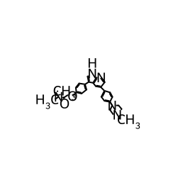 CN1CCN(c2ccc(-c3cnc4[nH]cc(-c5ccc(OCC(=O)N(C)C)cc5)c4c3)cc2)CC1